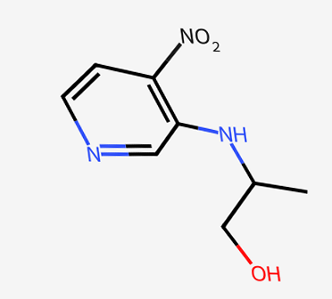 CC(CO)Nc1cnccc1[N+](=O)[O-]